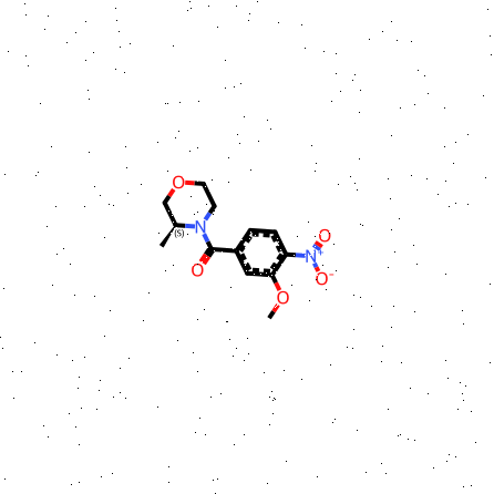 COc1cc(C(=O)N2CCOC[C@@H]2C)ccc1[N+](=O)[O-]